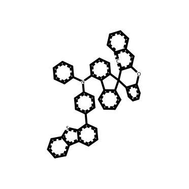 c1ccc(N(c2ccc(-c3cccc4c3sc3ccccc34)cc2)c2cccc3c2-c2ccccc2C32c3ccccc3Oc3cc4ccccc4cc32)cc1